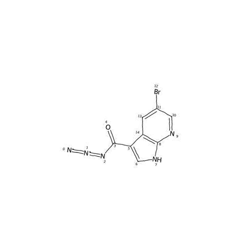 [N-]=[N+]=NC(=O)c1c[nH]c2ncc(Br)cc12